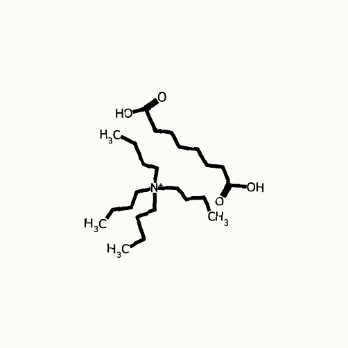 CCCC[N+](CCCC)(CCCC)CCCC.O=C(O)CCCCCCC(=O)O